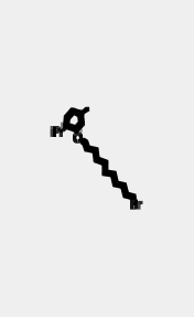 CC(C)[C@@H]1CC[C@@H](C)C[C@H]1OCCCCCCCCCCCBr